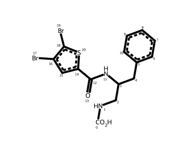 O=C(O)NCC(Cc1ccccc1)NC(=O)c1cc(Br)c(Br)s1